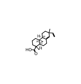 C=CC1(C)C=C2CC[C@@H]3[C@](C)(CCC[C@@]3(C)C(=O)O)[C@H]2CC1